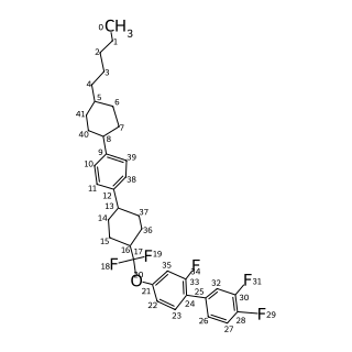 CCCCCC1CCC(c2ccc(C3CCC(C(F)(F)Oc4ccc(-c5ccc(F)c(F)c5)c(F)c4)CC3)cc2)CC1